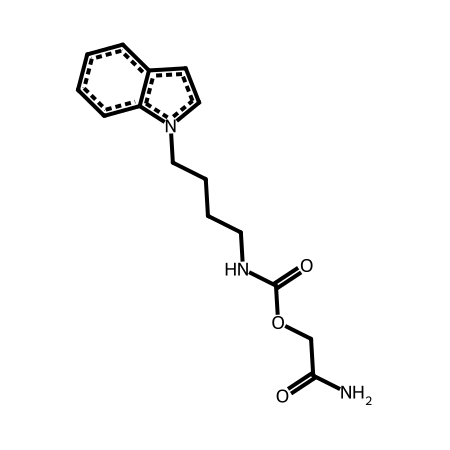 NC(=O)COC(=O)NCCCCn1ccc2ccccc21